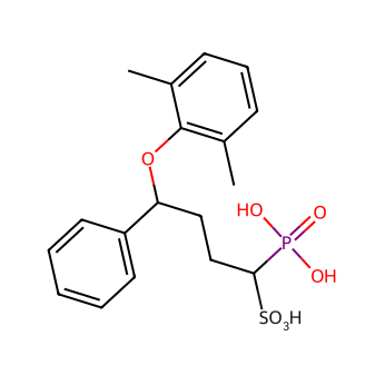 Cc1cccc(C)c1OC(CCC(P(=O)(O)O)S(=O)(=O)O)c1ccccc1